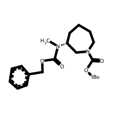 CN(C(=O)OCc1ccccc1)[C@@H]1CCCCN(C(=O)OC(C)(C)C)C1